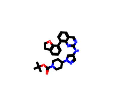 CC(C)(C)OC(=O)N1CCC(n2cc(Nc3ncc4cccc(-c5cccc6c5OCC6)c4n3)cn2)CC1